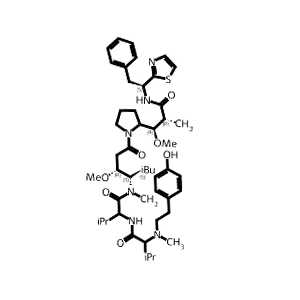 CC[C@H](C)[C@@H]([C@@H](CC(=O)N1CCCC1[C@H](OC)[C@@H](C)C(=O)N[C@@H](Cc1ccccc1)c1nccs1)OC)N(C)C(=O)C(NC(=O)C(C(C)C)N(C)CCc1ccc(O)cc1)C(C)C